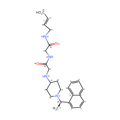 C[C@H](c1cccc2ccccc12)N1CCC(NCC(=O)NCC(=O)NC/C=C/C(=O)O)CC1